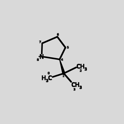 CC(C)(C)[C@@H]1CCC[N]1